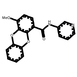 COc1ccc(C(=O)Nc2cccnc2)c2c1Oc1ccccc1O2